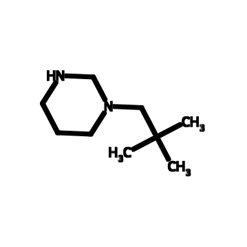 CC(C)(C)CN1CCCNC1